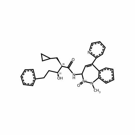 CN1c2ccccc2C(c2ccccn2)=CC(NC(=O)[C@H](CC2CC2)[C@@H](O)CCc2ccccc2)[N+]1=O